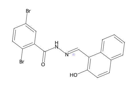 O=C(N/N=C/c1c(O)ccc2ccccc12)c1cc(Br)ccc1Br